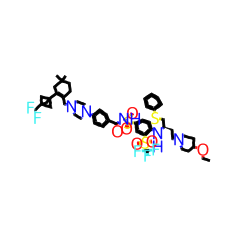 CCOC1CCN(CC[C@H](CSc2ccccc2)Nc2ccc(S(=O)(=O)NC(=O)c3ccc(N4CCN(CC5=C(C67CC(C(F)F)(C6)C7)CC(C)(C)CC5)CC4)cc3)cc2S(=O)(=O)C(F)(F)F)CC1